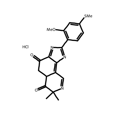 COc1cc(SC)ccc1C1=NC2=C3C=NC(C)(C)C(=O)C3CC(=O)C2=N1.Cl